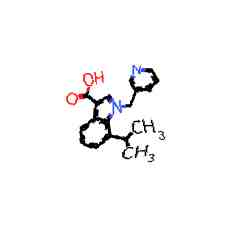 CC(C)c1cccc2c(C(=O)O)cn(Cc3cccnc3)c12